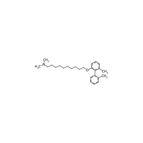 Cc1ccccc1-c1c(C)cccc1OCCCCCCCCCCN(C)C